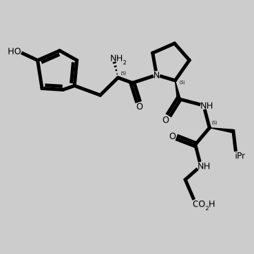 CC(C)C[C@H](NC(=O)[C@@H]1CCCN1C(=O)[C@@H](N)Cc1ccc(O)cc1)C(=O)NCC(=O)O